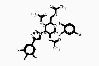 CC(=O)OCC1O[C@H](Sc2cc(Br)ccc2F)C(OC(C)=O)[C@@H](n2cc(-c3cc(F)c(F)c(F)c3)nn2)[C@H]1OC(C)=O